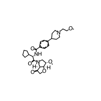 COCCN1CCC(c2ccc(C(=O)N[C@H](C(=O)N3C[C@H](OC)[C@H]4OCC(=O)[C@H]43)C3CCCC3)cc2)CC1